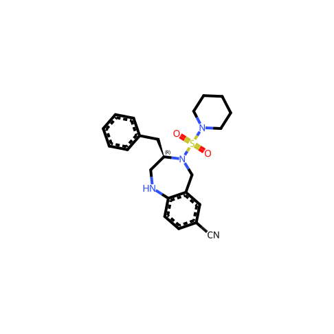 N#Cc1ccc2c(c1)CN(S(=O)(=O)N1CCCCC1)[C@H](Cc1ccccc1)CN2